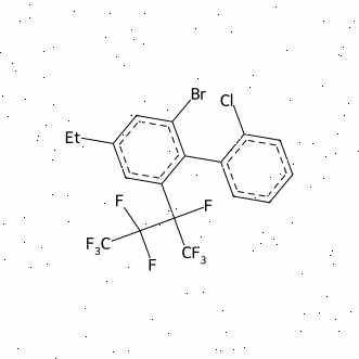 CCc1[c]c(Br)c(-c2ccccc2Cl)c(C(F)(C(F)(F)F)C(F)(F)C(F)(F)F)c1